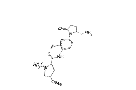 COC1CC(C(=O)Nc2ccc(N3C(=O)CCC3CN)cc2F)N(C(=O)O)C1